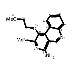 CNc1nc(N)c2cnc3ccccc3c2c1OCCOC